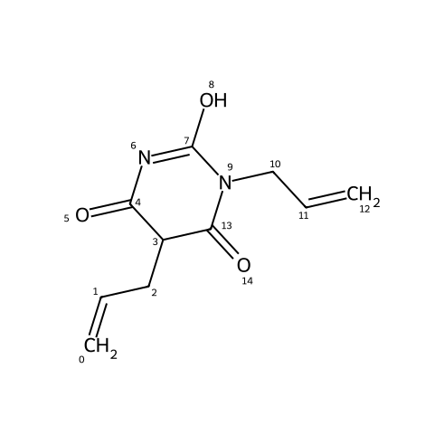 C=CCC1C(=O)N=C(O)N(CC=C)C1=O